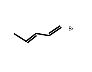 C=CC=CC.[B]